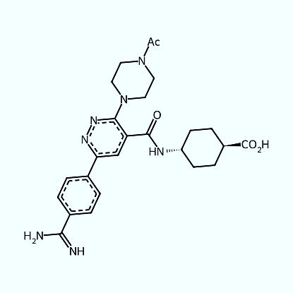 CC(=O)N1CCN(c2nnc(-c3ccc(C(=N)N)cc3)cc2C(=O)N[C@H]2CC[C@H](C(=O)O)CC2)CC1